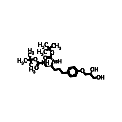 CC(C)(C)OC(=O)NC[C@@H](CCCc1ccc(OC[C@H](O)CO)cc1)[AsH]C(=O)OC(C)(C)C